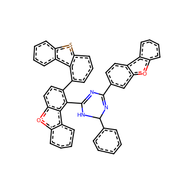 c1ccc(C2N=C(c3ccc4c(c3)oc3ccccc34)N=C(c3c(-c4cccc5sc6ccccc6c45)ccc4oc5ccccc5c34)N2)cc1